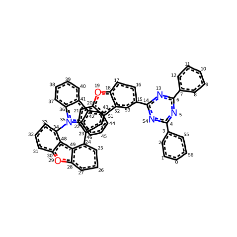 c1ccc(-c2nc(-c3ccccc3)nc(-c3ccc4oc5ccc(-c6cccc7oc8cccc(-n9c%10ccccc%10c%10ccccc%109)c8c67)cc5c4c3)n2)cc1